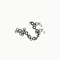 Cn1c2ccncc2c2ccc(-c3cnc(OC4CC(CN5CCC(OC6CCN(c7ccc8c(c7)C(=O)N(C7CCC(=O)NC7=O)C8=O)CC6)CC5)C4)c(C(F)(F)F)c3)cc21